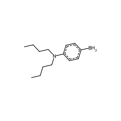 Bc1ccc(N(CCCC)CCCC)cc1